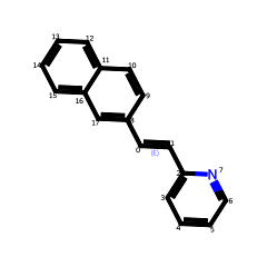 C(=C\c1ccccn1)/c1ccc2ccccc2c1